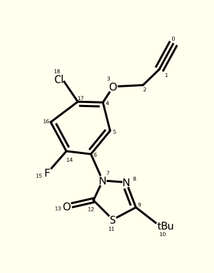 C#CCOc1cc(-n2nc(C(C)(C)C)sc2=O)c(F)cc1Cl